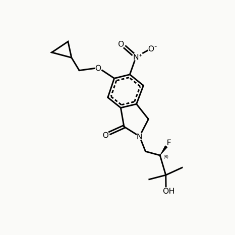 CC(C)(O)[C@H](F)CN1Cc2cc([N+](=O)[O-])c(OCC3CC3)cc2C1=O